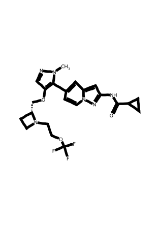 Cn1ncc(OC[C@H]2CCN2CCOC(F)(F)F)c1-c1ccn2nc(NC(=O)C3CC3)cc2c1